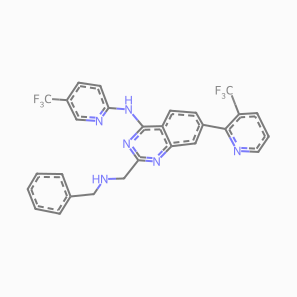 FC(F)(F)c1ccc(Nc2nc(CNCc3ccccc3)nc3cc(-c4ncccc4C(F)(F)F)ccc23)nc1